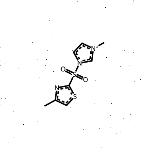 Cc1csc(S(=O)(=O)n2cc[n+](C)c2)n1